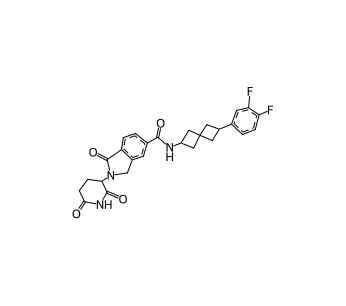 O=C1CCC(N2Cc3cc(C(=O)NC4CC5(C4)CC(c4ccc(F)c(F)c4)C5)ccc3C2=O)C(=O)N1